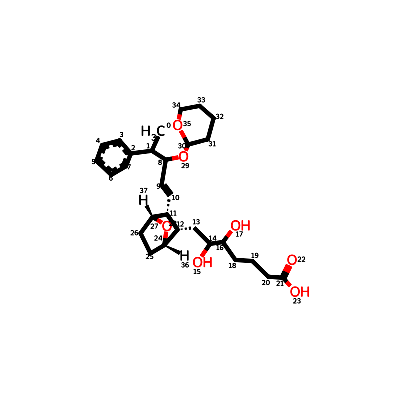 CC(c1ccccc1)C(C=C[C@@H]1[C@H](CC(O)C(O)CCCC(=O)O)[C@@H]2CC[C@H]1O2)OC1CCCCO1